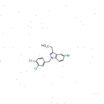 O=C(O)Cc1cn(Cc2ccc(Cl)c(Cl)c2)c2ccc(Br)cc12